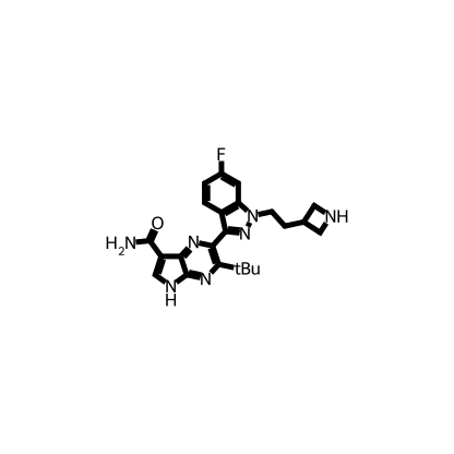 CC(C)(C)c1nc2[nH]cc(C(N)=O)c2nc1-c1nn(CCC2CNC2)c2cc(F)ccc12